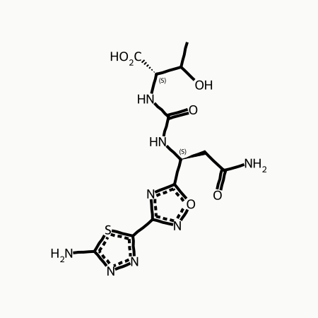 CC(O)[C@H](NC(=O)N[C@@H](CC(N)=O)c1nc(-c2nnc(N)s2)no1)C(=O)O